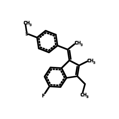 CCC1=C(C)/C(=C(\C)c2ccc(SC)cc2)c2ccc(F)cc21